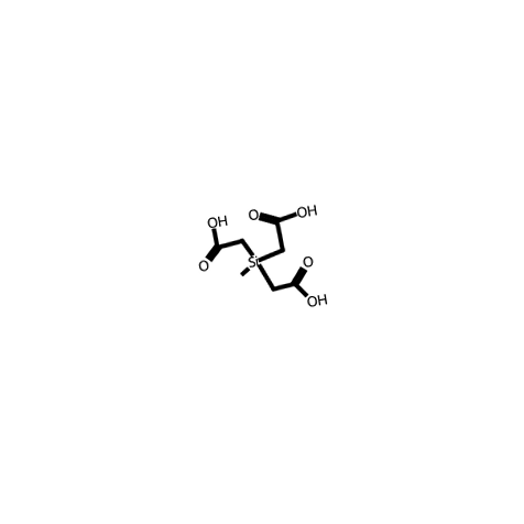 C[Si](CC(=O)O)(CC(=O)O)CC(=O)O